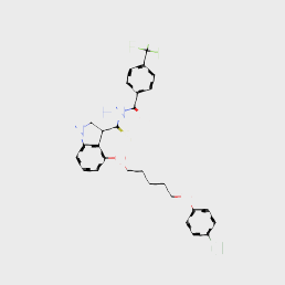 O=C(NC(=S)C1CNc2cccc(OCCCCCOc3ccc(Cl)cc3)c21)c1ccc(C(F)(F)F)cc1